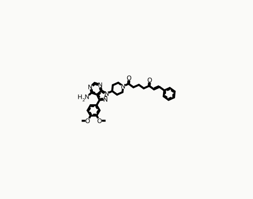 COc1ccc(-c2nn(C3CCN(C(=O)CCCC(=O)/C=C/c4ccccc4)CC3)c3ncnc(N)c23)cc1OC